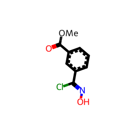 COC(=O)c1cccc(/C(Cl)=N/O)c1